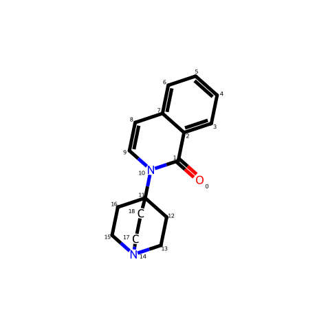 O=c1c2ccccc2ccn1C12CCN(CC1)CC2